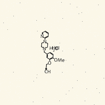 C#CCOc1cc(CN2CCN(c3ccccn3)CC2)ccc1OC.Cl.O